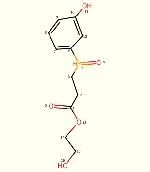 O=C(CC[PH](=O)c1cccc(O)c1)OCCO